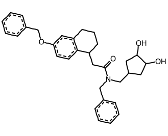 O=C(CC1CCCc2cc(OCc3ccccc3)ccc21)N(Cc1ccccc1)CC1CC(O)C(O)C1